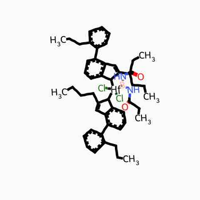 CCCCC1=Cc2c(-c3ccccc3CCC)cccc2[CH]1[Hf]([Cl])([Cl])([B](NC(=O)CC)NC(=O)CC)[CH]1C(CCCC)=Cc2c(-c3ccccc3CCC)cccc21